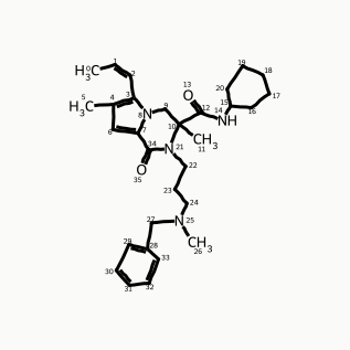 C/C=C\c1c(C)cc2n1CC(C)(C(=O)NC1CCCCC1)N(CCCN(C)Cc1ccccc1)C2=O